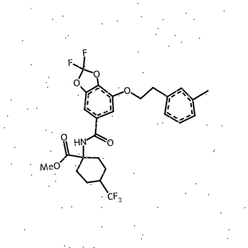 COC(=O)C1(NC(=O)c2cc(OCCc3cccc(C)c3)c3c(c2)OC(F)(F)O3)CCC(C(F)(F)F)CC1